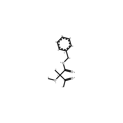 COC(C)(C(C)=O)C(=O)OCc1ccccc1